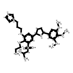 CCCOc1c(OCCCn2ccnc2)cc(C2CCC(c3cc(OC)c(OC)c(OC)c3)O2)cc1S(=O)(=O)CC(C)O